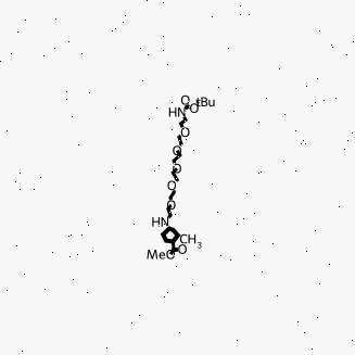 COC(=O)c1ccc(NCCOCCOCCOCCOCCOCCNC(=O)OC(C)(C)C)cc1C